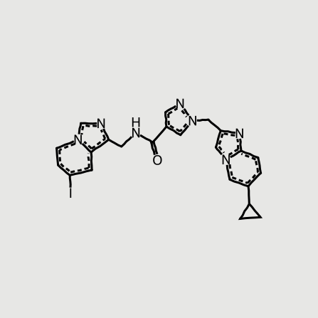 O=C(NCc1ncn2ccc(I)cc12)c1cnn(Cc2cn3cc(C4CC4)ccc3n2)c1